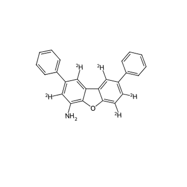 [2H]c1c(-c2ccccc2)c([2H])c2c(oc3c(N)c([2H])c(-c4ccccc4)c([2H])c32)c1[2H]